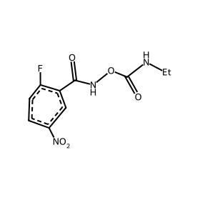 CCNC(=O)ONC(=O)c1cc([N+](=O)[O-])ccc1F